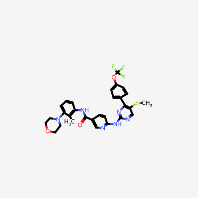 CSc1cnc(Nc2ccc(C(=O)Nc3cccc(N4CCOCC4)c3C)cn2)nc1-c1ccc(OC(F)(F)F)cc1